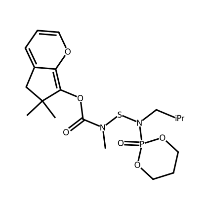 CC(C)CN(SN(C)C(=O)OC1=C2OC=CC=C2CC1(C)C)P1(=O)OCCCO1